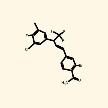 Cc1cc(C(/C=C/c2ccc(C(N)=O)c(Br)c2)C(F)(F)F)cc(Cl)c1F